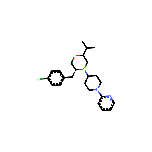 CC(C)C1CN(C2CCN(c3ccccn3)CC2)[C@@H](Cc2ccc(Cl)cc2)CO1